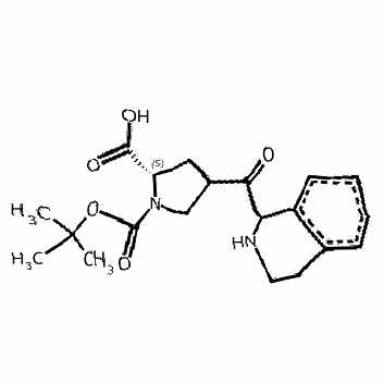 CC(C)(C)OC(=O)N1CC(C(=O)C2NCCc3ccccc32)C[C@H]1C(=O)O